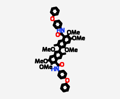 COc1cc2c(OC)c(-c3c(C)cc4c(C(=O)Nc5ccc(Oc6ccccc6)cc5)c(OC)c(OC)cc4c3OC)c(C)cc2c(C(=O)Nc2ccc(Oc3ccccc3)cc2)c1OC